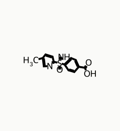 Cc1ccc(S(=N)(=O)c2ccc(C(=O)O)cc2)nc1